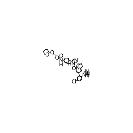 O=C(Nc1ccc(-c2cnc([C@@H]3CCc4cc(-c5cc(Cl)ccc5-n5cnnn5)cc(=O)n43)[nH]2)cc1)OCCOC1CCCCO1